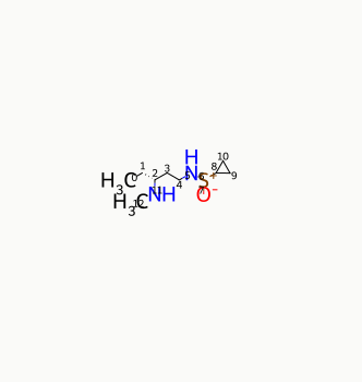 CC[C@H](CCN[S+]([O-])C1CC1)NC